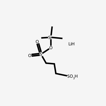 C[Si](C)(C)OS(=O)(=O)CCCS(=O)(=O)O.[LiH]